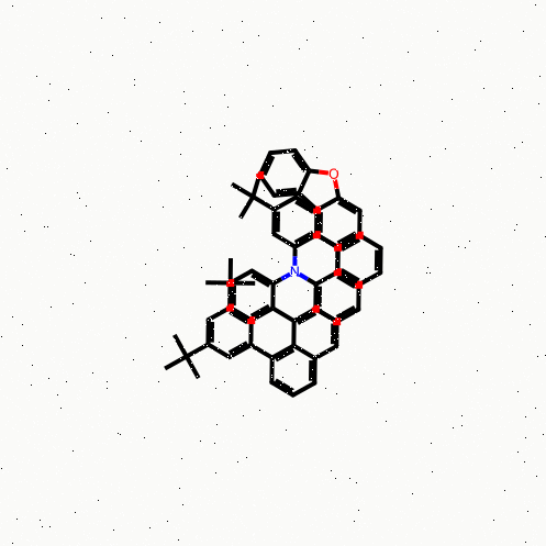 CC(C)(C)c1cc(-c2cccc3cccc(-c4ccccc4N(c4ccccc4-c4ccc5oc6ccccc6c5c4)c4cc(C(C)(C)C)ccc4-c4ccccc4)c23)cc(C(C)(C)C)c1